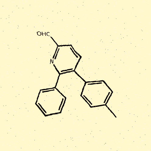 Cc1ccc(-c2ccc(C=O)nc2-c2ccccc2)cc1